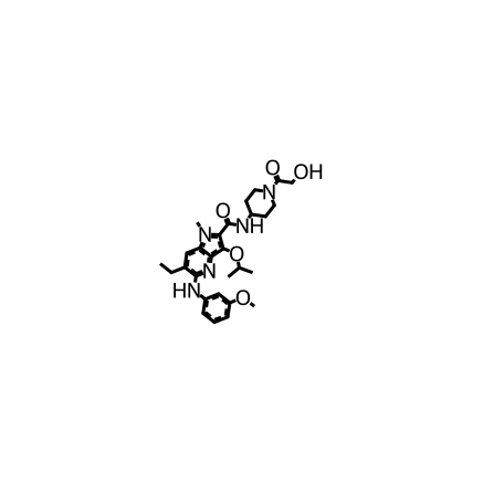 CCc1cc2c(nc1Nc1cccc(OC)c1)c(OC(C)C)c(C(=O)NC1CCN(C(=O)CO)CC1)n2C